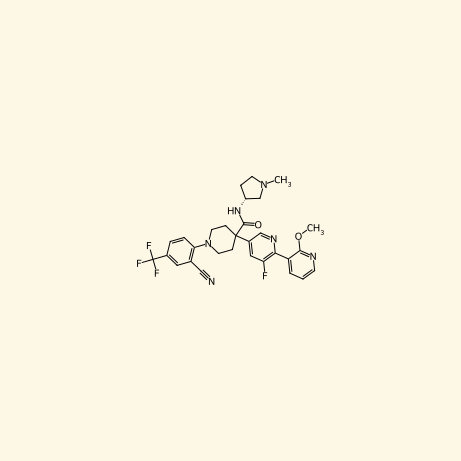 COc1ncccc1-c1ncc(C2(C(=O)N[C@@H]3CCN(C)C3)CCN(c3ccc(C(F)(F)F)cc3C#N)CC2)cc1F